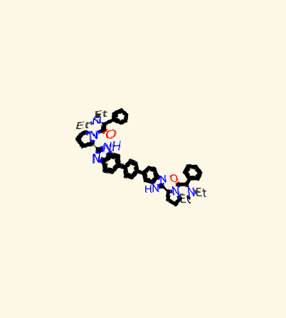 CCN(CC)[C@@H](C(=O)N1CCC[C@H]1c1nc2ccc(-c3ccc(-c4ccc5nc([C@@H]6CCCN6C(=O)[C@@H](c6ccccc6)N(CC)CC)[nH]c5c4)cc3)cc2[nH]1)c1ccccc1